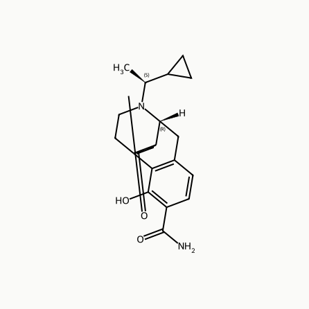 C[C@@H](C1CC1)N1CCC23CC(=O)CCC2[C@H]1Cc1ccc(C(N)=O)c(O)c13